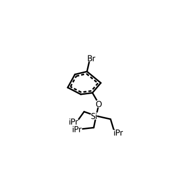 CC(C)C[Si](CC(C)C)(CC(C)C)Oc1cccc(Br)c1